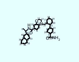 CC(NC(=O)c1ccc2c(c1)OCCN2Cc1ccccc1-c1ccc(C(N)=O)cc1)c1ccc2ccccc2c1